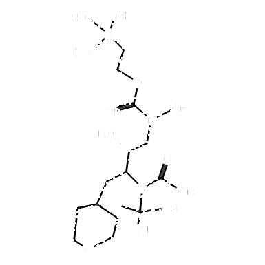 CN(C[C@@H](O)C(CC1CCOCC1)N(C(=O)O)C(C)(C)C)C(=O)OCC[Si](C)(C)C